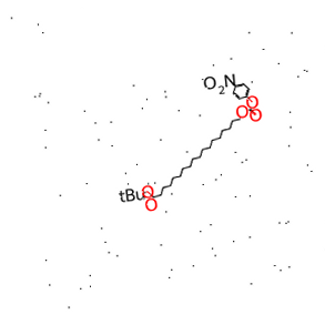 CC(C)(C)OC(=O)CCCCCCCCCCCCCCCCCOC(=O)Oc1ccc([N+](=O)[O-])cc1